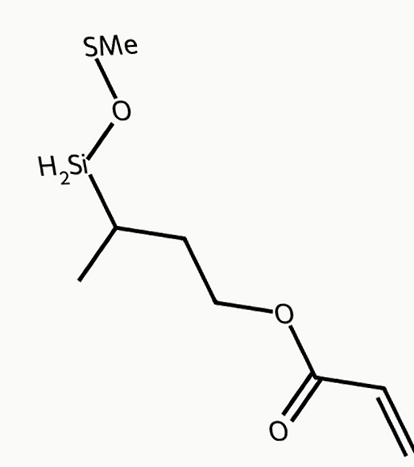 C=CC(=O)OCCC(C)[SiH2]OSC